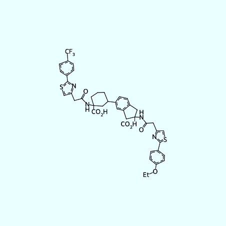 CCOc1ccc(-c2nc(CC(=O)NC3(C(=O)O)Cc4ccc(C5CCCC(NC(=O)Cc6csc(-c7ccc(C(F)(F)F)cc7)n6)(C(=O)O)C5)cc4C3)cs2)cc1